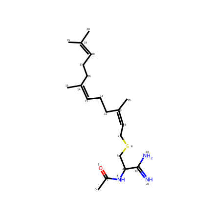 CC(=O)NC(CSCC=C(C)CCC=C(C)CCC=C(C)C)C(=N)N